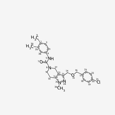 Cc1ccc(NC(=O)N2CCc3c(c(COCc4ccc(Cl)cc4)nn3C)C2)cc1C